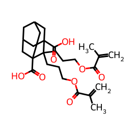 C=C(C)C(=O)OCCCC1(CCCOC(=O)C(=C)C)C2(C(=O)O)CC3CC(C2)CC1(C(=O)O)C3